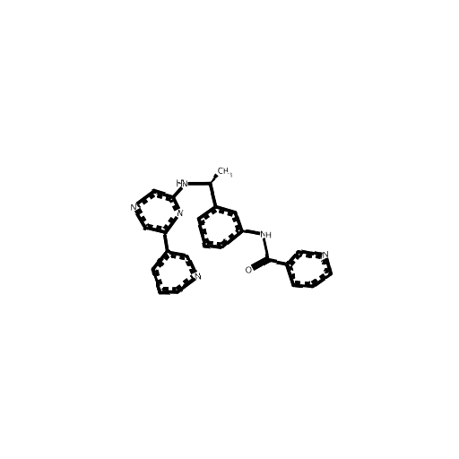 C[C@H](Nc1cncc(-c2cccnc2)n1)c1cccc(NC(=O)c2cccnc2)c1